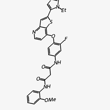 CCn1cncc1-c1cc2nccc(Oc3ccc(NC(=O)CC(=O)Nc4ccccc4OC)cc3F)c2s1